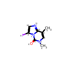 Cc1cn(C)c(=O)n2c(I)cnc12